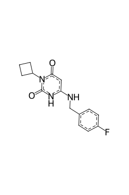 O=c1cc(NCc2ccc(F)cc2)[nH]c(=O)n1C1CCC1